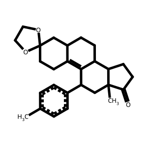 Cc1ccc(C2CC3(C)C(=O)CCC3C3CCC4CC5(CCC4=C23)OCCO5)cc1